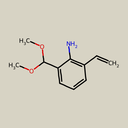 C=Cc1cccc(C(OC)OC)c1N